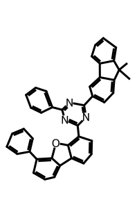 CC1(C)c2ccccc2-c2cc(-c3nc(-c4ccccc4)nc(-c4cccc5c4oc4c(-c6ccccc6)cccc45)n3)ccc21